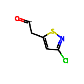 O=[C]Cc1cc(Cl)ns1